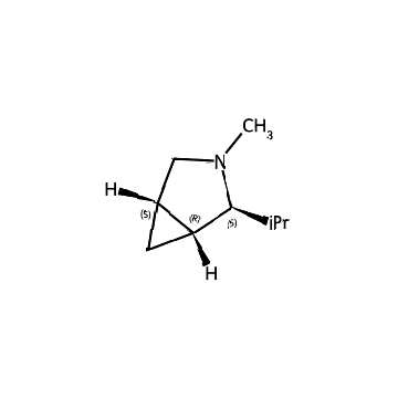 CC(C)[C@H]1[C@@H]2C[C@@H]2CN1C